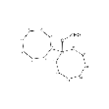 O=COC1(C2CCCCCCC2)CCCCCCC1